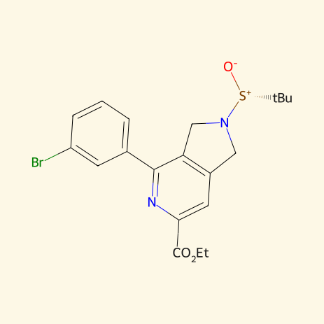 CCOC(=O)c1cc2c(c(-c3cccc(Br)c3)n1)CN([S@+]([O-])C(C)(C)C)C2